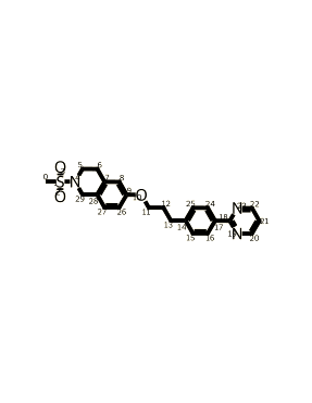 CS(=O)(=O)N1CCc2cc(OCCCc3ccc(-c4ncccn4)cc3)ccc2C1